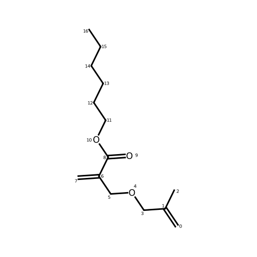 C=C(C)COCC(=C)C(=O)OCCCCCC